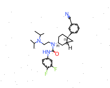 CC(C)N(CCN(C(=O)Nc1ccc(F)c(F)c1)[C@@H]1CC[C@]2(c3cccc(C#N)c3)C[C@@H]2C1)C(C)C